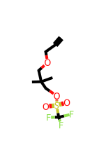 C#CCOCC(C)(C)COS(=O)(=O)C(F)(F)F